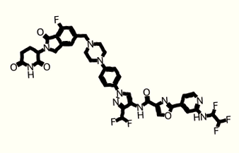 O=C1CCC(N2Cc3cc(CN4CCN(c5ccc(-n6cc(NC(=O)c7coc(-c8ccnc(NC(F)C(F)F)c8)n7)c(C(F)F)n6)cc5)CC4)cc(F)c3C2=O)C(=O)N1